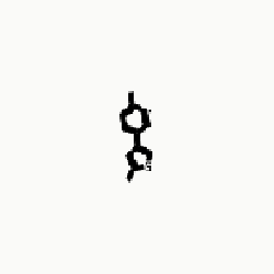 Cc1[c]cc(-c2csc(C)c2)cc1